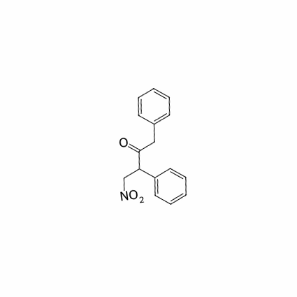 O=C(Cc1ccccc1)C(C[N+](=O)[O-])c1ccccc1